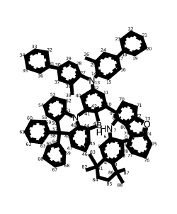 Cc1cc2c(cc1Nc1c(-c3cc(N(c4ccc(-c5ccccc5)cc4C)c4ccc(-c5ccccc5)cc4C)cc4c3Bc3cccc5c3N4c3ccccc3C5(c3ccccc3)c3ccccc3)ccc3oc4ccccc4c13)C(C)(C)CCC2(C)C